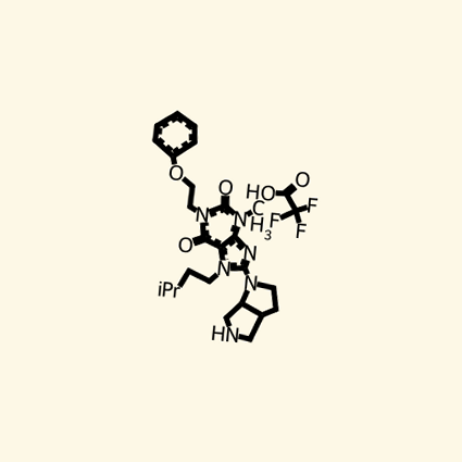 CC(C)CCn1c(N2CCC3CNCC32)nc2c1c(=O)n(CCOc1ccccc1)c(=O)n2C.O=C(O)C(F)(F)F